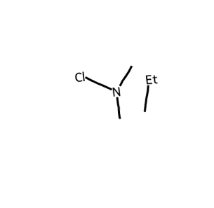 CCC.CN(C)Cl